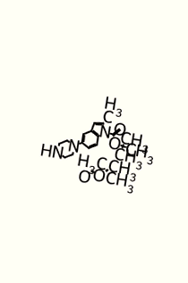 CC(C)(C)OC=O.Cc1cc2cc(N3CCNCC3)ccc2n1C(=O)OC(C)(C)C